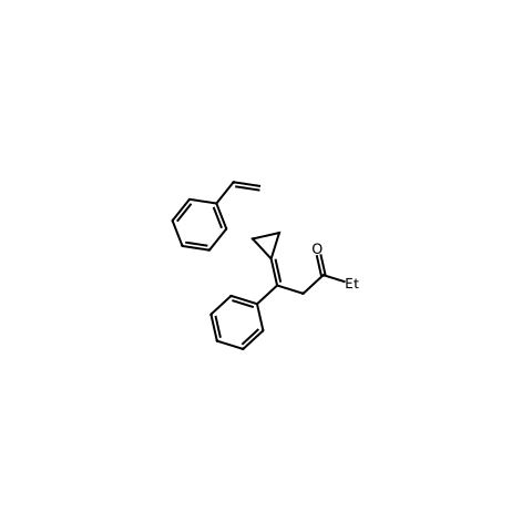 C=Cc1ccccc1.CCC(=O)CC(=C1CC1)c1ccccc1